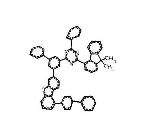 CC1(C)c2ccccc2-c2c(-c3nc(-c4ccccc4)nc(-c4cc(-c5ccccc5)cc(-c5ccc6c(c5)oc5cccc(-c7ccc(-c8ccccc8)cc7)c56)c4)n3)cccc21